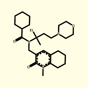 CCC(C)(CCN1CCOCC1)N(Cc1cc2c(n(C)c1=O)CCCC2)C(=O)C1CCCCC1